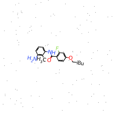 CCC(C)COc1ccc(C(=O)Nc2cccc(N)c2C)c(F)c1